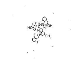 Cc1cc(OCc2c(F)cccc2F)n2nc(C)c(C(=O)N[C@H]3c4ccccc4C[C@H]3O)c2c1.O=C(O)C(F)(F)F